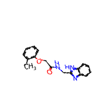 Cc1ccccc1OCC(=O)NCc1nc2ccccc2[nH]1